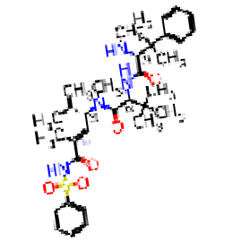 CN[C@H](C(=O)N[C@H](C(=O)N(C)[C@H](/C=C(\C)C(=O)NS(=O)(=O)c1ccccc1)C(C)C)C(C)(C)C)C(C)(C)c1ccccc1